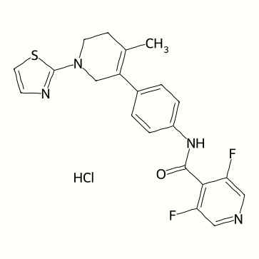 CC1=C(c2ccc(NC(=O)c3c(F)cncc3F)cc2)CN(c2nccs2)CC1.Cl